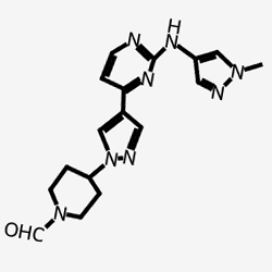 Cn1cc(Nc2nccc(-c3cnn(C4CCN(C=O)CC4)c3)n2)cn1